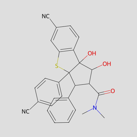 CN(C)C(=O)C1C(O)C2(O)c3ccc(C#N)cc3SC2(c2ccc(C#N)cc2)C1c1ccccc1